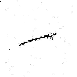 CCCCCCCCCCCCCCC(C)(C)C(=O)OCI